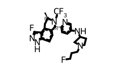 C[C@@H]1Cc2c(ccc3[nH]nc(F)c23)[C@@H](c2ccc(NC3CCN(CCCF)C3)cn2)N1CC(F)(F)F